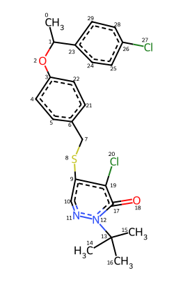 CC(Oc1ccc(CSc2cnn(C(C)(C)C)c(=O)c2Cl)cc1)c1ccc(Cl)cc1